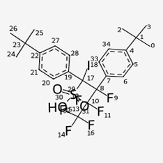 CC(C)(C)c1ccc(C(F)(C(F)(F)C(F)(F)F)C(I)(c2ccc(C(C)(C)C)cc2)S(=O)(=O)O)cc1